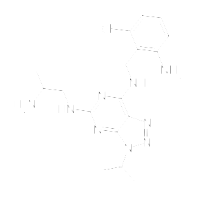 CC(N)CNc1nc(NCc2c(N)cccc2Cl)c2nnn(C(C)C)c2n1